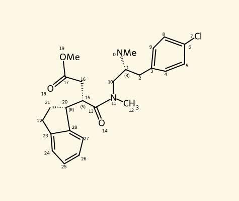 CN[C@H](Cc1ccc(Cl)cc1)CN(C)C(=O)[C@@H](CC(=O)OC)[C@H]1CCc2ccccc21